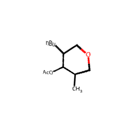 CCCCC1COCC(C)C1OC(C)=O